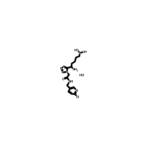 Cl.NC(CCCCB(O)O)c1nnnn1CC(=O)NCc1ccc(Cl)nc1